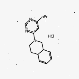 CCCc1cc(N2CCC3C=CC=CC3C2)ncn1.Cl